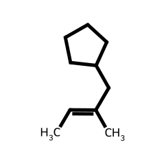 CC=C(C)CC1CCCC1